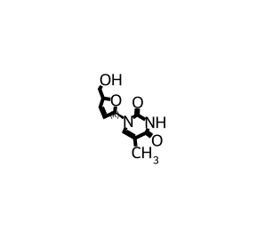 Cc1cn([C@H]2C=CC(CO)O2)c(=O)[nH]c1=O